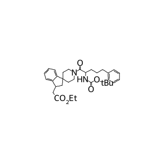 CCOC(=O)CC1CC2(CCN(C(=O)C(CCCc3ccccc3)NC(=O)OC(C)(C)C)CC2)c2ccccc21